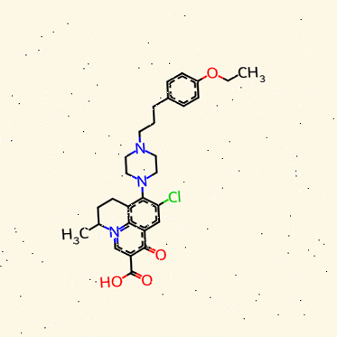 CCOc1ccc(CCCN2CCN(c3c(Cl)cc4c(=O)c(C(=O)O)cn5c4c3CCC5C)CC2)cc1